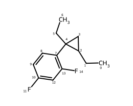 CCC1CC1(CC)c1ccc(F)cc1F